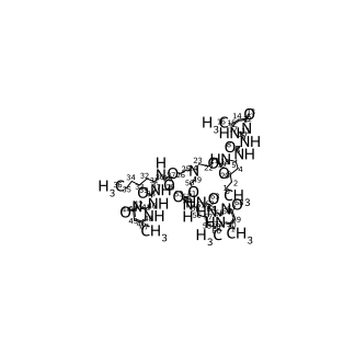 CCCCCC(NC(=O)Nc1nc(=O)cc(C)[nH]1)NC(=O)OCCN(CCOC(=O)NC(CCCCC)NC(=O)Nc1nc(=O)cc(C)[nH]1)CCOC(=O)NC(CCCCC)NC(=O)Nc1nc(=O)cc(C)[nH]1